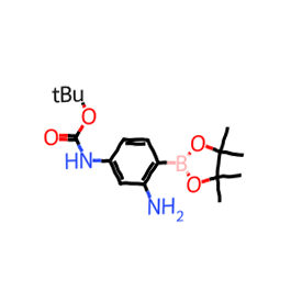 CC(C)(C)OC(=O)Nc1ccc(B2OC(C)(C)C(C)(C)O2)c(N)c1